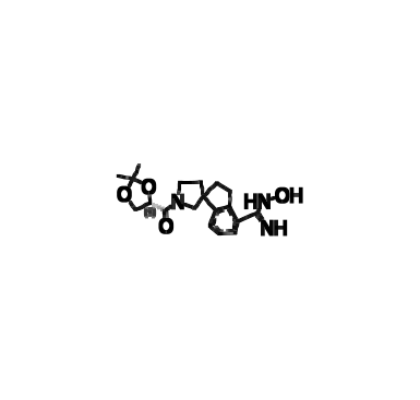 CC1(C)OC[C@@H](C(=O)N2CCC3(CCc4c(C(=N)NO)cccc43)C2)O1